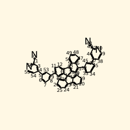 N#Cc1cc(-c2cccc(-c3ccc4c(c3)C3(c5ccccc5-c5ccccc53)c3cc(-c5cccc(-c6ccnc(C#N)c6)c5)c5ccccc5c3-4)c2)ccn1